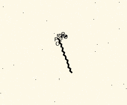 CCCCCCCCCCCCCCCC(=O)[C@@H](CP(=O)(OC)OC)C(F)F